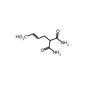 NC(=O)C(CC=CC(=O)O)C(N)=O